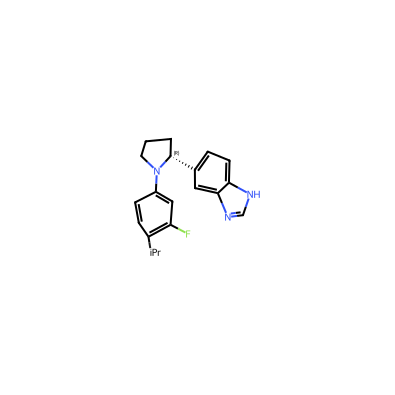 CC(C)c1ccc(N2CCC[C@@H]2c2ccc3[nH]cnc3c2)cc1F